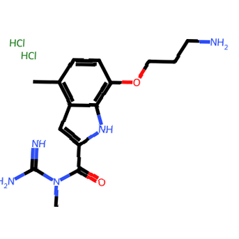 Cc1ccc(OCCCN)c2[nH]c(C(=O)N(C)C(=N)N)cc12.Cl.Cl